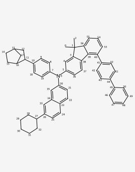 CC1(C)c2cc(N(c3ccc(C4CC5CCC4C5)cc3)c3ccc4ccc(C5CCCCC5)cc4c3)ccc2-c2c(-c3ccc(-c4ccccc4)cc3)cccc21